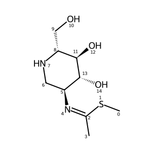 CS/C(C)=N\[C@H]1CN[C@H](CO)[C@@H](O)[C@@H]1O